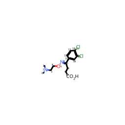 CN(C)CCO/N=C(\CCC(=O)O)c1ccc(Cl)c(Cl)c1